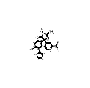 CN1C(=O)C(c2ccnc(C(F)F)c2)(c2ccc(F)c(-c3cncs3)c2)N=C1N